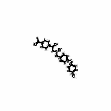 CC(=O)N1CCN(C(=O)C[S+]([O-])Cc2ccc(Sc3ccc(Cl)cc3)cc2)CC1